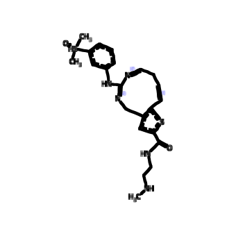 CNCCNC(=O)c1cc2c(s1)/C=C\C/C=N\C(Nc1cccc([SH](C)(C)=O)c1)=N/C2